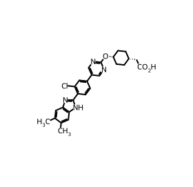 Cc1cc2nc(-c3ccc(-c4cnc(O[C@H]5CC[C@@H](CC(=O)O)CC5)nc4)cc3Cl)[nH]c2cc1C